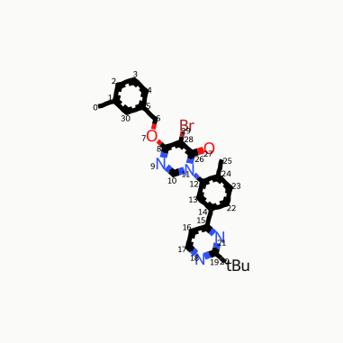 Cc1cccc(COc2ncn(-c3cc(-c4ccnc(C(C)(C)C)n4)ccc3C)c(=O)c2Br)c1